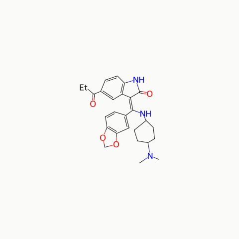 CCC(=O)c1ccc2c(c1)/C(=C(/NC1CCC(N(C)C)CC1)c1ccc3c(c1)OCO3)C(=O)N2